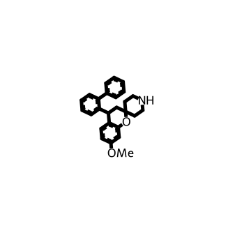 COc1ccc2c(c1)OC1(CCNCC1)CC2c1ccccc1-c1ccccc1